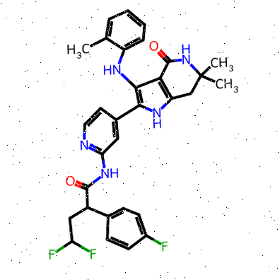 Cc1ccccc1Nc1c(-c2ccnc(NC(=O)C(CC(F)F)c3ccc(F)cc3)c2)[nH]c2c1C(=O)NC(C)(C)C2